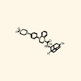 O=C(NC1[C@@H]2CC3C[C@H]1CC(O)(C3)C2)N1CCN(c2ccc(N3CCS(=O)(=O)CC3)cc2)c2ccccc21